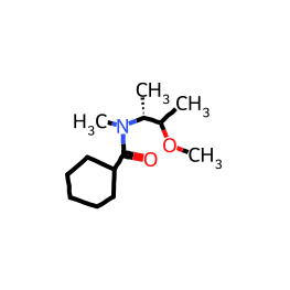 COC(C)[C@@H](C)N(C)C(=O)C1CCCCC1